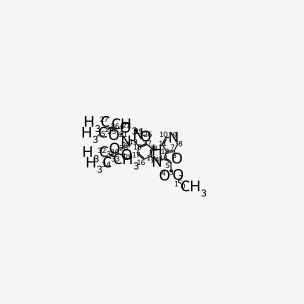 CCOC(=O)c1oc2cnccc2c1Nc1ccc2c(N(C(=O)OC(C)(C)C)C(=O)OC(C)(C)C)noc2c1